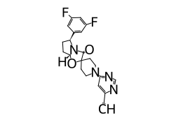 C#Cc1cc(N2CCC3(CC2)O[C@@H]2CC[C@@H](c4cc(F)cc(F)c4)N2C3=O)ncn1